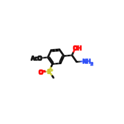 CC(=O)Oc1ccc(C(O)CN)cc1[S+](C)[O-]